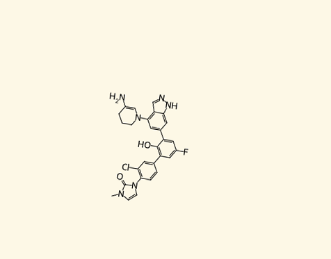 Cn1ccn(-c2ccc(-c3cc(F)cc(-c4cc(N5C=C(N)CCC5)c5cn[nH]c5c4)c3O)cc2Cl)c1=O